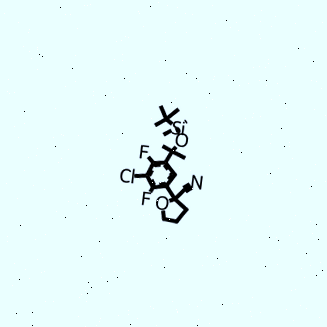 CC(C)(O[Si](C)(C)C(C)(C)C)c1cc(C2(C#N)CCCO2)c(F)c(Cl)c1F